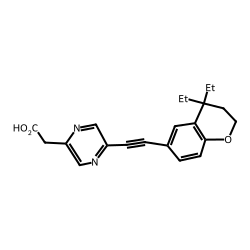 CCC1(CC)CCOc2ccc(C#Cc3cnc(CC(=O)O)cn3)cc21